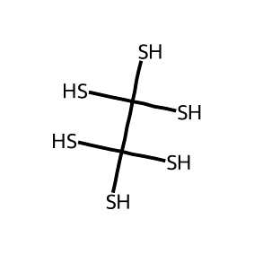 SC(S)(S)C(S)(S)S